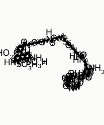 CC(C)(CCOC(=O)NCCOCCOCCNC(=O)c1ccc(C(=O)O)c(-c2c3ccc(=N)c(S(=O)(=O)O)c-3oc3c(S(=O)(=O)O)c(N)ccc23)c1)SSCOCCCCCNC(=O)NCC#CC1CN(C2C[C@H](OCN=[N+]=[N-])[C@@H](COP(=O)(O)OP(=O)(O)OP(=O)(O)O)O2)C(=O)N=C1N